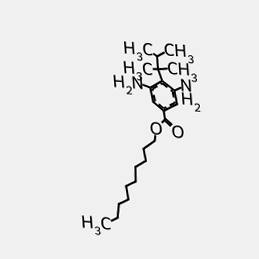 CCCCCCCCCCOC(=O)c1cc(N)c(C(C)(C)C(C)C)c(N)c1